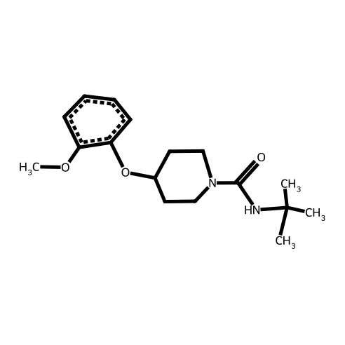 COc1ccccc1OC1CCN(C(=O)NC(C)(C)C)CC1